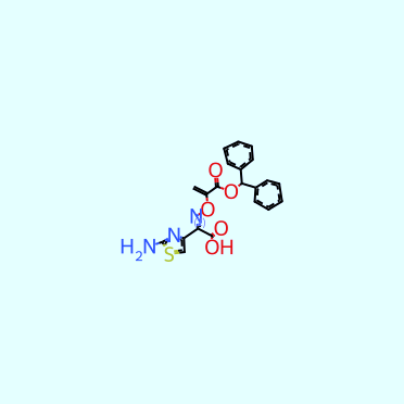 C=C(O/N=C(\C(=O)O)c1csc(N)n1)C(=O)OC(c1ccccc1)c1ccccc1